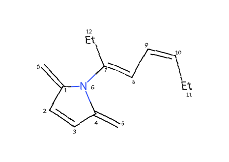 C=c1ccc(=C)n1/C(=C/C=C\CC)CC